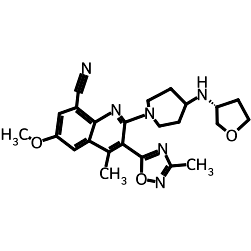 COc1cc(C#N)c2nc(N3CCC(N[C@@H]4CCOC4)CC3)c(-c3nc(C)no3)c(C)c2c1